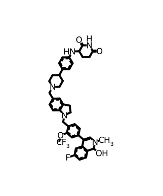 CN1C=C(c2ccc(CN3CCc4cc(CN5CCC(c6ccc(NC7CCC(=O)NC7=O)cc6)CC5)ccc43)c(OC(F)(F)F)c2)c2cc(F)ccc2C1O